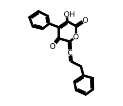 O=C1OC(=C=CCc2ccccc2)C(=O)C(c2ccccc2)=C1O